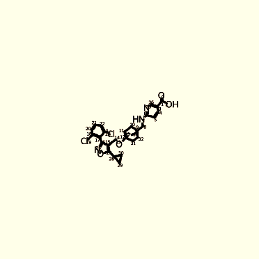 O=C(O)c1ccc(NCC23CCC(OCc4c(-c5c(Cl)cccc5Cl)noc4C4CC4)(CC2)CC3)nc1